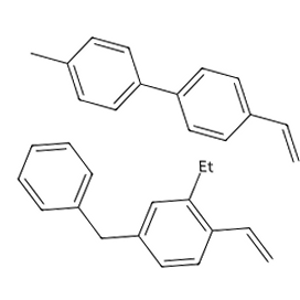 C=Cc1ccc(-c2ccc(C)cc2)cc1.C=Cc1ccc(Cc2ccccc2)cc1CC